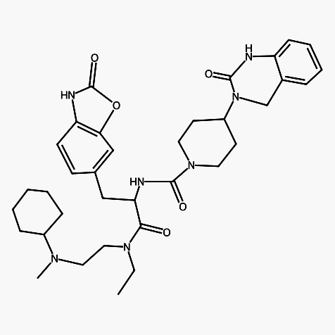 CCN(CCN(C)C1CCCCC1)C(=O)C(Cc1ccc2[nH]c(=O)oc2c1)NC(=O)N1CCC(N2Cc3ccccc3NC2=O)CC1